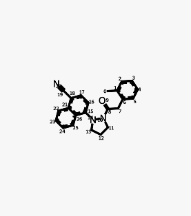 Cc1ccccc1CC(=O)N1CCCN1c1ccc(C#N)c2ccccc12